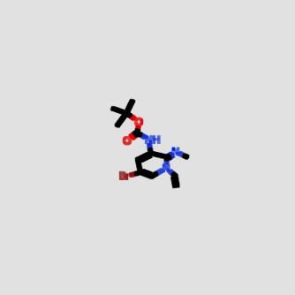 C=Cn1cc(Br)cc(NC(=O)OC(C)(C)C)/c1=N/C